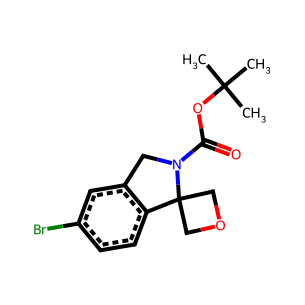 CC(C)(C)OC(=O)N1Cc2cc(Br)ccc2C12COC2